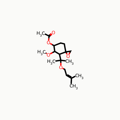 COC1C(OC(C)=O)CCC2(CO2)C1C(C)(C)OCC=C(C)C